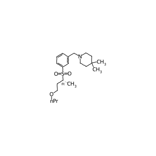 CCCOCC[C@@H](C)S(=O)(=O)c1cccc(CN2CCC(C)(C)CC2)c1